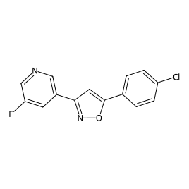 Fc1cncc(-c2cc(-c3ccc(Cl)cc3)on2)c1